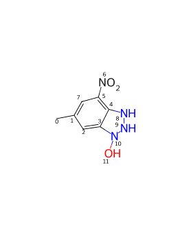 Cc1cc2c(c([N+](=O)[O-])c1)NNN2O